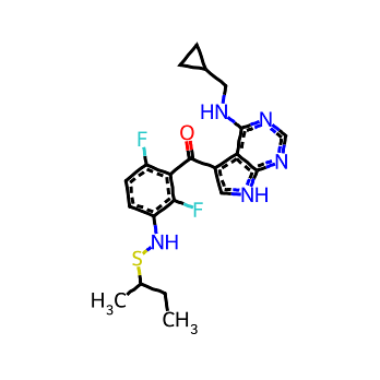 CCC(C)SNc1ccc(F)c(C(=O)c2c[nH]c3ncnc(NCC4CC4)c23)c1F